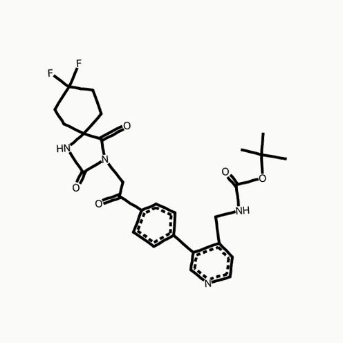 CC(C)(C)OC(=O)NCc1ccncc1-c1ccc(C(=O)CN2C(=O)NC3(CCC(F)(F)CC3)C2=O)cc1